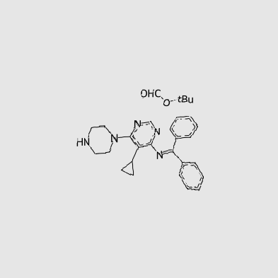 CC(C)(C)OC=O.c1ccc(C(=Nc2ncnc(N3CCNCC3)c2C2CC2)c2ccccc2)cc1